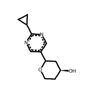 O[C@H]1CCOC(c2cnc(C3CC3)nc2)C1